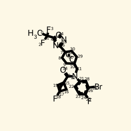 CC(F)(F)c1nc(C23CCC(CN(C(=O)C45CC(F)(C4)C5)c4ccc(F)c(Br)c4)(CC2)CC3)no1